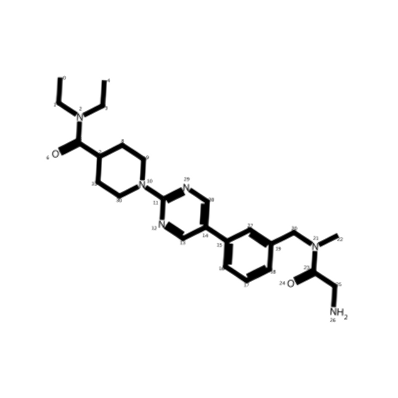 CCN(CC)C(=O)C1CCN(c2ncc(-c3cccc(CN(C)C(=O)CN)c3)cn2)CC1